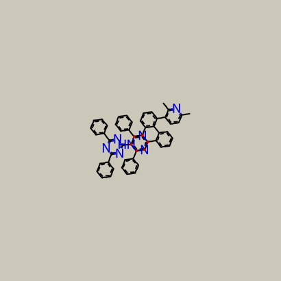 Cc1ccc(-c2cccc(-c3cccc(-c4nc(-c5ccccc5)nc(-c5ccccc5)n4)c3)c2-c2ccccc2C2=NC(c3ccccc3)NC(c3ccccc3)=N2)c(C)n1